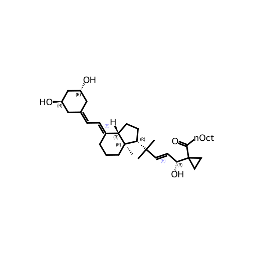 CCCCCCCCC(=O)C1([C@H](O)/C=C/C(C)(C)[C@H]2CC[C@H]3/C(=C/C=C4C[C@@H](O)C[C@H](O)C4)CCC[C@]23C)CC1